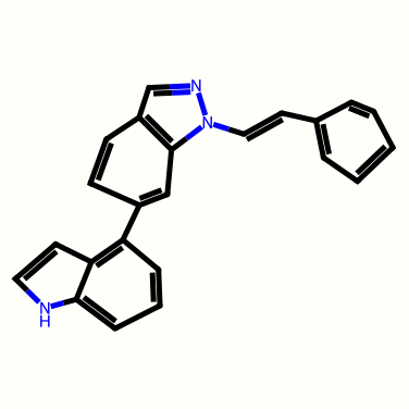 C(=Cn1ncc2ccc(-c3cccc4[nH]ccc34)cc21)c1ccccc1